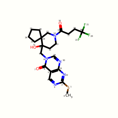 CSc1ncc2c(=O)n(CC3(O)CCN(C(=O)CCC(F)(F)F)CC34CCCC4)cnc2n1